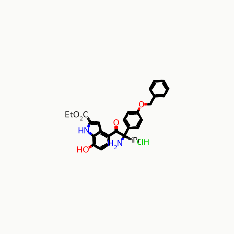 CCOC(=O)c1cc2c(C(=O)C(N)(c3ccc(OCc4ccccc4)cc3)C(C)C)ccc(O)c2[nH]1.Cl